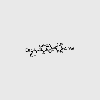 CC[C@H](O)COc1ccc2nc(-c3ccc(NC)cc3)oc2c1